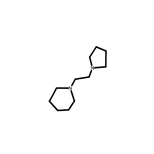 C1CCN(CCN2CCCC2)CC1